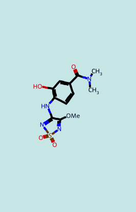 COC1=NS(=O)(=O)N=C1Nc1ccc(C(=O)N(C)C)cc1O